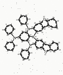 c1ccc(N(c2ccccc2)c2cc3c4c(c2)N(c2ccccc2)c2cc5oc6ccccc6c5cc2B4c2cc4c(cc2N3c2ccccc2)oc2ccccc24)cc1